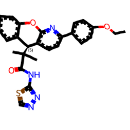 CCOc1ccc(-c2ccc3c(n2)Oc2ccccc2[C@@H]3C(C)(C)C(=O)Nc2nncs2)cc1